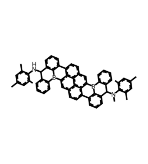 Cc1cc(C)c(NC2c3ccccc3B3c4c(cccc42)-c2ccc4cc5c6c(ccc7cc3c2c4c76)-c2cccc3c2B5c2ccccc2C3N(C)c2c(C)cc(C)cc2C)c(C)c1